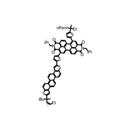 CC/C=C\C(C)(c1cc2c(ccc3c2ccc2c4ccc5sc(-c6ccc(-c7cc8c9ccc%10c%11c(cc(-c%12ccc(C(C)(CC)CCCCC)s%12)c(c%12ccc%13c(c7C(=O)N(CC(C)C)C%13=O)c8%12)c%119)C(=O)N(CC(C)C)C%10=O)s6)cc5c4ccc32)s1)C(C)CC